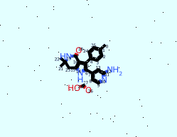 Cc1ccc(-c2c(-c3ccnc(N)c3)[nH]c3c2C(=O)NC(C)(C)C3)cc1.O=CO